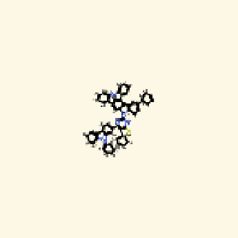 c1ccc(-c2ccc3c(c2)c2c4c5ccccc5n5c6ccccc6c(cc2n3-c2nc(-c3ccc6c7ccccc7n(-c7ccccc7)c6c3)c3c(n2)sc2ccccc23)c45)cc1